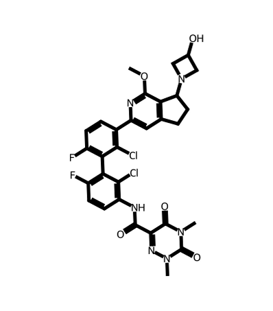 COc1nc(-c2ccc(F)c(-c3c(F)ccc(NC(=O)c4nn(C)c(=O)n(C)c4=O)c3Cl)c2Cl)cc2c1C(N1CC(O)C1)CC2